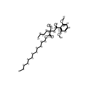 CCCCCCCCCCCCOC(=O)C(CCCC)(CC(=O)c1c(OC)cccc1OC)P=O